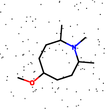 COC1CCC(C)N(C)C(C)CC1